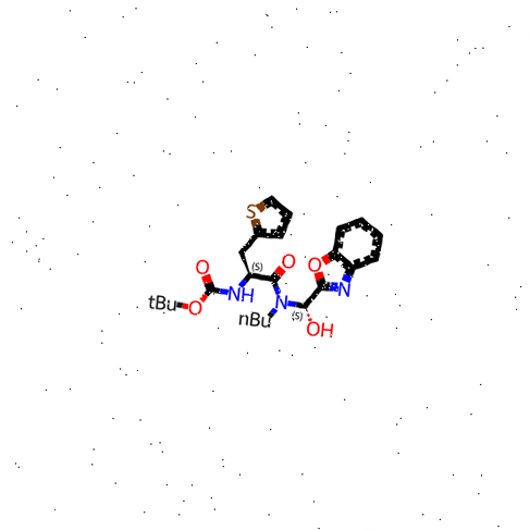 CCCCN(C(=O)[C@H](Cc1cccs1)NC(=O)OC(C)(C)C)[C@@H](O)c1nc2ccccc2o1